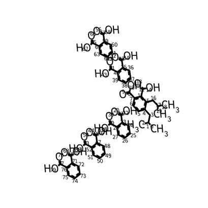 CC(C)Cc1ccc(C(=O)O)c(C(=O)O)c1CC(C)C.O=C(O)c1ccccc1C(=O)O.O=C(O)c1ccccc1C(=O)O.O=C(O)c1ccccc1C(=O)O.O=C(O)c1ccccc1C(=O)O.O=C(O)c1ccccc1C(=O)O